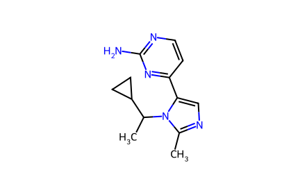 Cc1ncc(-c2ccnc(N)n2)n1C(C)C1CC1